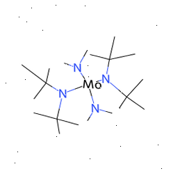 C[N](C)[Mo]([N](C)C)([N](C(C)(C)C)C(C)(C)C)[N](C(C)(C)C)C(C)(C)C